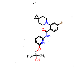 CC(C)(O)COc1cccc(NC(=O)c2ccc(Br)cc2N2CCC3(CC2)CC3)n1